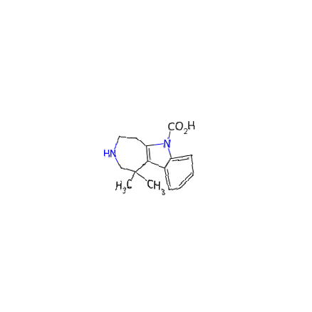 CC1(C)CNCCc2c1c1ccccc1n2C(=O)O